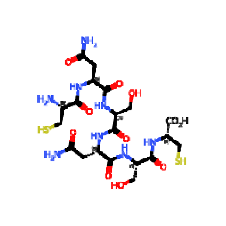 NC(=O)C[C@H](NC(=O)[C@H](CO)NC(=O)[C@H](CC(N)=O)NC(=O)[C@@H](N)CS)C(=O)N[C@@H](CO)C(=O)N[C@@H](CS)C(=O)O